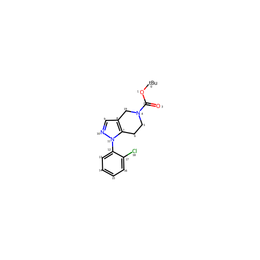 CC(C)(C)OC(=O)N1CCc2c(cnn2-c2ccccc2Cl)C1